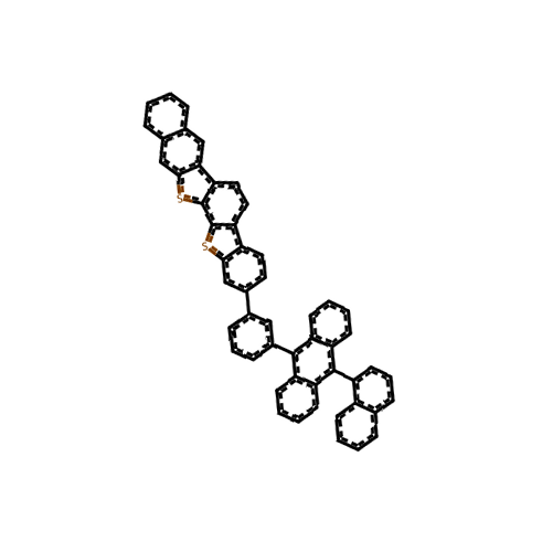 c1cc(-c2ccc3c(c2)sc2c3ccc3c4cc5ccccc5cc4sc32)cc(-c2c3ccccc3c(-c3cccc4ccccc34)c3ccccc23)c1